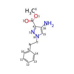 COC(=O)c1nn(CCc2ccccc2)cc1N